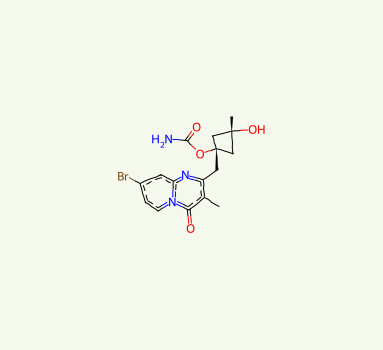 Cc1c(C[C@]2(OC(N)=O)C[C@@](C)(O)C2)nc2cc(Br)ccn2c1=O